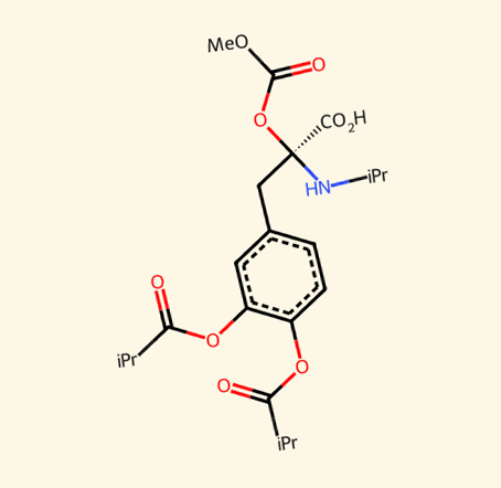 COC(=O)O[C@](Cc1ccc(OC(=O)C(C)C)c(OC(=O)C(C)C)c1)(NC(C)C)C(=O)O